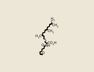 CC(C)=CCC/C(C)=C/CC/C(C)=C/CSC[C@H](NC(=O)CCC1CC=CO1)C(=O)O